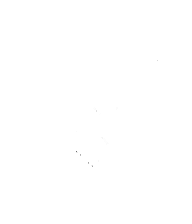 O=c1c(-c2ccc(Oc3ccccc3)cc2)c(Cl)cnn1C1CCCCO1